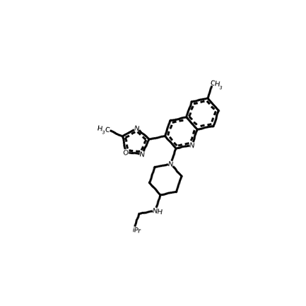 Cc1ccc2nc(N3CCC(NCC(C)C)CC3)c(-c3noc(C)n3)cc2c1